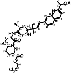 COC[C@H](NC(=O)[C@@H](NC(O)C(C)(C)/C=C/c1ccc2ccc([C@@H](C)OC(C)=O)nc2c1)C(C)C)C(=O)N1CCC[C@@H](C(=O)OCC(Cl)(Cl)Cl)N1